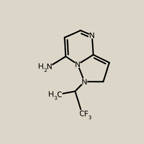 CC(N1CC=C2N=CC=C(N)N21)C(F)(F)F